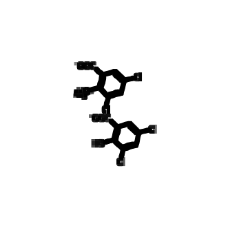 O=C([O-])c1cc(Cl)cc(Cl)c1O.O=C([O-])c1cc(Cl)cc(Cl)c1O.[Mg+2]